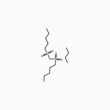 CCCC.CCCCCS(=O)(=O)OS(=O)(=O)CCCCC